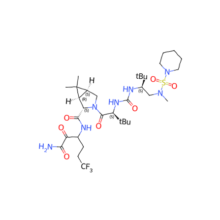 CN(C[C@@H](NC(=O)N[C@H](C(=O)N1C[C@H]2[C@@H]([C@H]1C(=O)NC(CCC(F)(F)F)C(=O)C(N)=O)C2(C)C)C(C)(C)C)C(C)(C)C)S(=O)(=O)N1CCCCC1